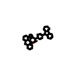 c1ccc2c(c1)Oc1ccccc1C21c2ccccc2N(c2ccc(-n3c4ccccc4c4ncccc43)cn2)c2ccccc21